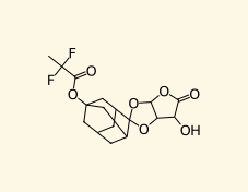 CC(F)(F)C(=O)OC12CC3CC(C1)C1(OC4OC(=O)C(O)C4O1)C(C3)C2